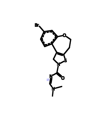 CN(C)/C=N\C(=O)N1CC2=C(CCOc3cc(Br)ccc32)S1